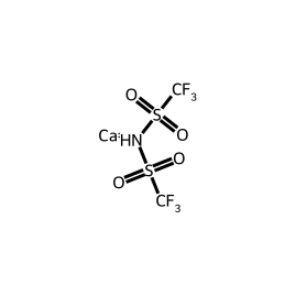 O=S(=O)(NS(=O)(=O)C(F)(F)F)C(F)(F)F.[Ca]